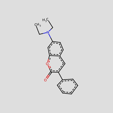 CCN(CC)c1ccc2cc(-c3ccccc3)c(=O)oc2c1